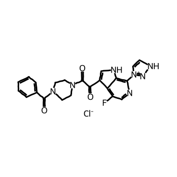 O=C(C(=O)N1CCN(C(=O)c2ccccc2)CC1)c1c[nH]c2c(-[n+]3cc[nH]n3)ncc(F)c12.[Cl-]